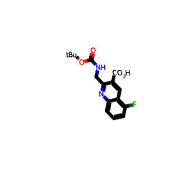 CC(C)(C)OC(=O)NCc1nc2cccc(F)c2cc1C(=O)O